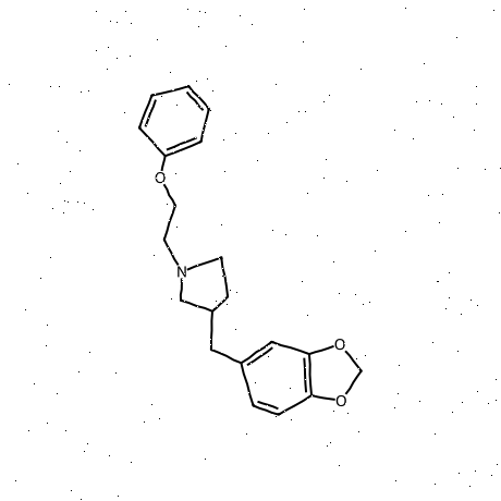 c1ccc(OCCN2CCC(Cc3ccc4c(c3)OCO4)C2)cc1